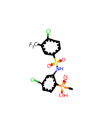 CP(=O)(O)c1ccc(Cl)cc1NS(=O)(=O)c1ccc(Cl)c(C(F)(F)F)c1